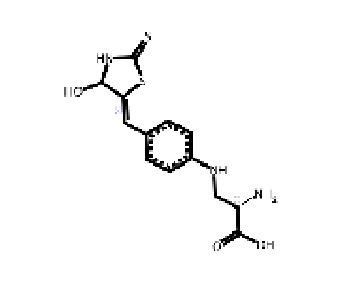 N[C@@H](CNc1ccc(/C=C2\SC(=S)NC2O)cc1)C(=O)O